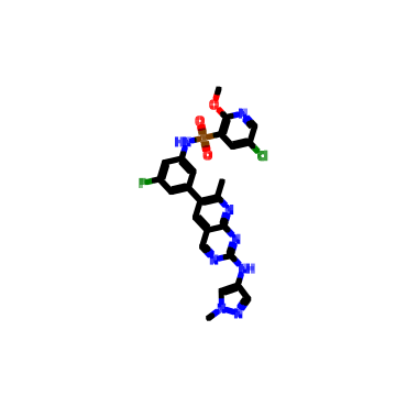 COc1ncc(Cl)cc1S(=O)(=O)Nc1cc(F)cc(-c2cc3cnc(Nc4cnn(C)c4)nc3nc2C)c1